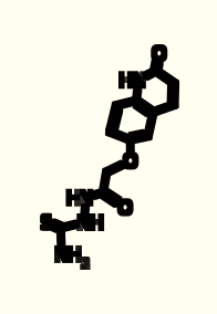 NC(=S)NNC(=O)COc1ccc2[nH]c(=O)ccc2c1